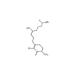 CCCC(I)CCCC(CCC)CCCC1CCC(C)C(F)C1F